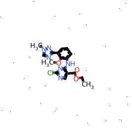 CCOC(=O)c1cnc(Cl)nc1Nc1cccc(-c2ncn(C)n2)c1OC